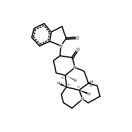 O=C1Cc2ccccc2N1C1CC[C@@H]2[C@H]3CCCN4CCC[C@@H](CN2C1=O)[C@@H]34